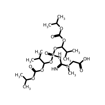 CC(C)OC(=O)OC(OP(=O)(NC(=N)N(C)CC(=O)O)OC(OC(=O)OC(C)C)C(C)C)C(C)C